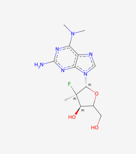 CN(C)c1nc(N)nc2c1ncn2[C@@H]1OC(CO)[C@@H](O)[C@@]1(C)F